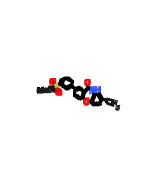 CNS(=O)(=O)c1cccc(-c2ccc3c(c2)C(=O)Nc2cc(C(F)(F)F)ccc2O3)c1